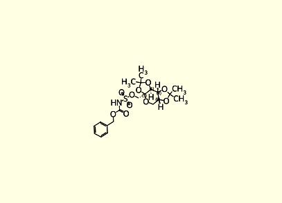 CC1(C)O[C@@H]2[C@@H](CO[C@@]3(COS(=O)(=O)NC(=O)OCc4ccccc4)OC(C)(C)O[C@@H]23)O1